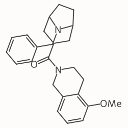 COc1cccc2c1CCN(C(=O)C1CC3CCC(C1)N3Cc1ccccc1)C2